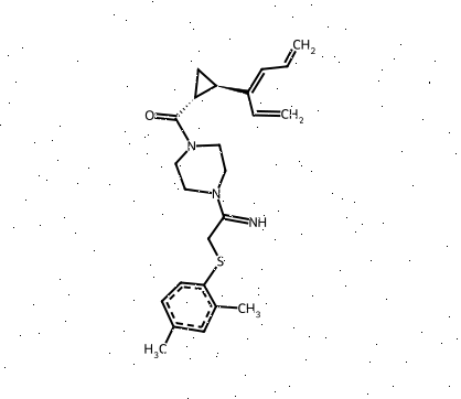 C=C/C=C(\C=C)[C@@H]1C[C@H]1C(=O)N1CCN(C(=N)CSc2ccc(C)cc2C)CC1